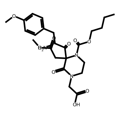 CCCCOC(=O)N1CCN(CC(=O)O)C(=O)C1(CC(=O)OC)C(=O)[C@@H](N)Cc1ccc(OC)cc1